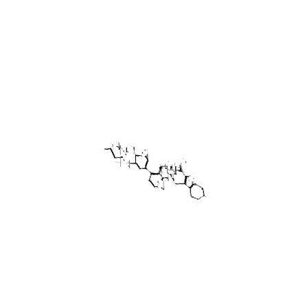 Cc1cc(Nc2cc(-c3ccnc(N4Cc5c(sc6c5CCCC6)C(=O)N4)c3CO)cn(C)c2=O)no1